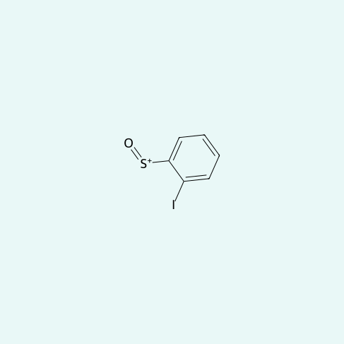 O=[S+]c1ccccc1I